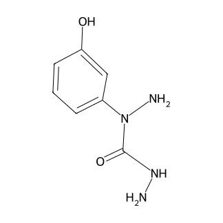 NNC(=O)N(N)c1cccc(O)c1